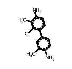 Cc1cc(-c2ccc(N)c(C)c2Cl)ccc1N